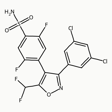 NS(=O)(=O)c1cc(F)c(-c2c(-c3cc(Cl)cc(Cl)c3)noc2C(F)F)cc1F